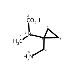 CN(C(=O)O)C1(CN)CC1